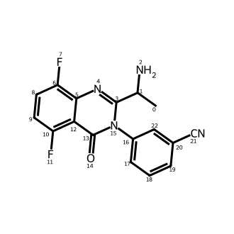 CC(N)c1nc2c(F)ccc(F)c2c(=O)n1-c1cccc(C#N)c1